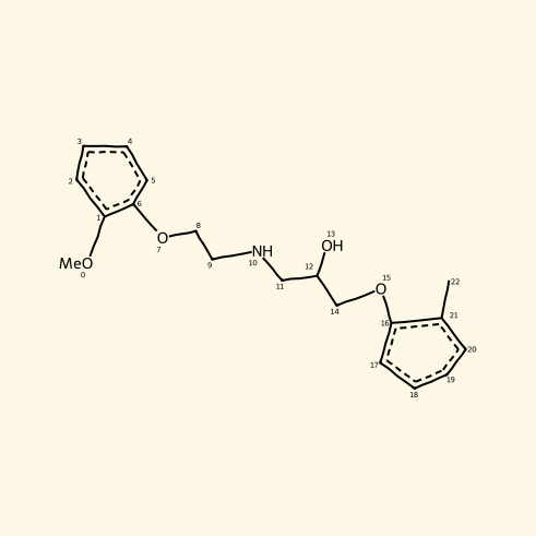 COc1ccccc1OCCNCC(O)COc1ccccc1C